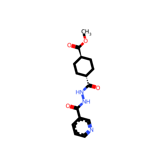 COC(=O)[C@H]1CC[C@H](C(=O)NNC(=O)c2cccnc2)CC1